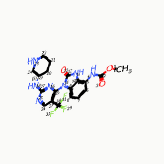 COC(=O)Nc1cccc2c1[nH]c(=O)n2-c1nc(N[C@H]2CCCNC2)ncc1C(F)(F)F